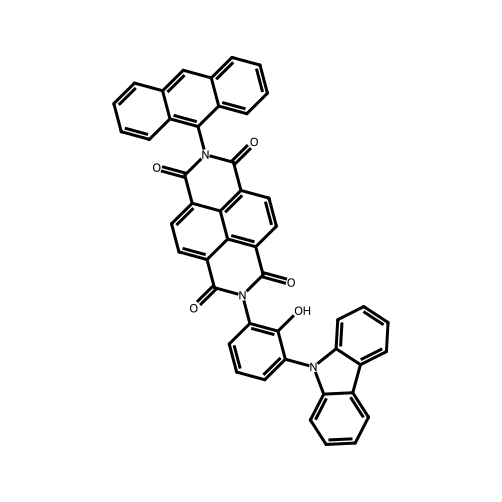 O=C1c2ccc3c4c(ccc(c24)C(=O)N1c1cccc(-n2c4ccccc4c4ccccc42)c1O)C(=O)N(c1c2ccccc2cc2ccccc12)C3=O